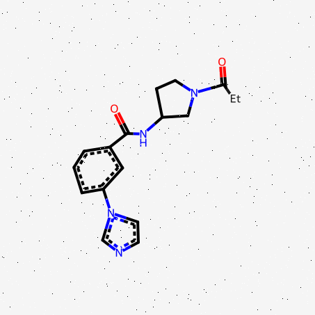 CCC(=O)N1CCC(NC(=O)c2cccc(-n3ccnc3)c2)C1